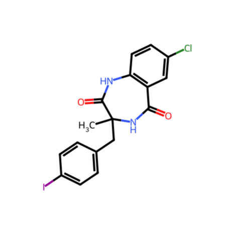 CC1(Cc2ccc(I)cc2)NC(=O)c2cc(Cl)ccc2NC1=O